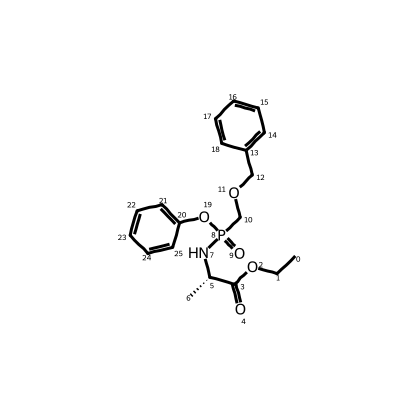 CCOC(=O)[C@H](C)NP(=O)(COCc1ccccc1)Oc1ccccc1